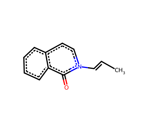 CC=Cn1ccc2ccccc2c1=O